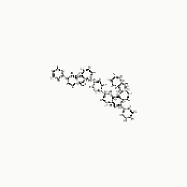 c1ccc(-c2ccc3oc4c(-c5ccc(-c6ccc7nc(-c8ccccc8)c8ccc9oc%10ccccc%10c9c8c7c6)cc5)cccc4c3c2)cc1